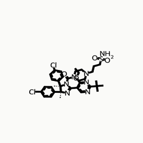 CCOc1nc(C(C)(C)C)ncc1C1=N[C@@](C)(c2ccc(Cl)cc2)[C@@](C)(c2ccc(Cl)cc2)N1C(=O)N1CCN(CCCS(N)(=O)=O)CC1